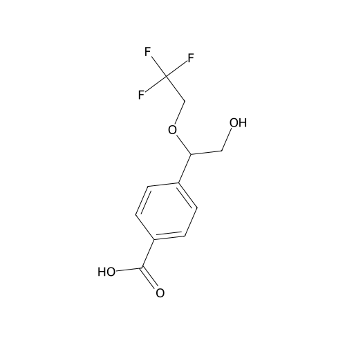 O=C(O)c1ccc(C(CO)OCC(F)(F)F)cc1